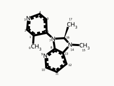 Cc1cnccc1N1c2ncccc2N(C)[C@@H]1C